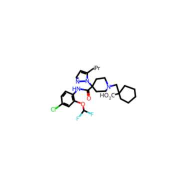 CC(C)c1ccnn1C1(C(=O)Nc2ccc(Cl)cc2OC(F)F)CCN(CC2(C(=O)O)CCCCC2)CC1